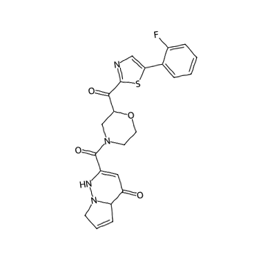 O=C(c1ncc(-c2ccccc2F)s1)C1CN(C(=O)C2=CC(=O)C3C=CCN3N2)CCO1